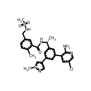 Cc1ccc(CNS(C)(=O)=O)cc1C(=O)N[C@H](C)c1cc(-c2cnn(C)c2)cc(-c2cc(Cl)cnc2N)c1